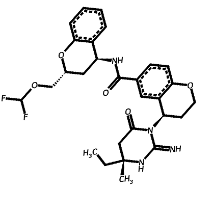 CC[C@]1(C)CC(=O)N([C@@H]2CCOc3ccc(C(=O)N[C@H]4C[C@H](COC(F)F)Oc5ccccc54)cc32)C(=N)N1